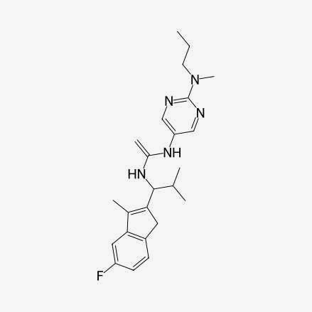 C=C(Nc1cnc(N(C)CCC)nc1)NC(C1=C(C)c2cc(F)ccc2C1)C(C)C